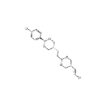 CC/C=C/C1COC(CC[C@H]2CO[C@H](c3ccc(Cl)cc3)OC2)OC1